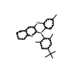 Cc1ccc2c(c1)Oc1cc3ccccc3nc1N2c1c(C)cc(C(C)(C)C)cc1C